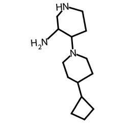 NC1CNCCC1N1CCC(C2CCC2)CC1